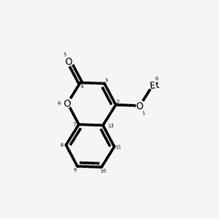 CCOc1cc(=O)oc2ccccc12